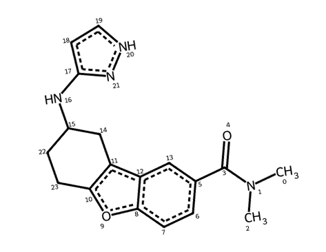 CN(C)C(=O)c1ccc2oc3c(c2c1)CC(Nc1cc[nH]n1)CC3